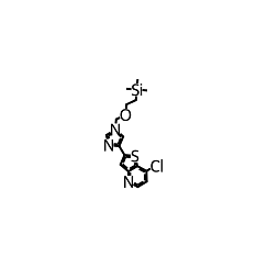 C[Si](C)(C)CCOCn1cnc(-c2cc3nccc(Cl)c3s2)c1